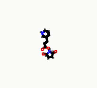 O=C(C=Cc1cccnc1)ON1C(=O)CCC1=O